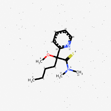 CCCCC(OC)(C(=S)N(C)C)c1ccccn1